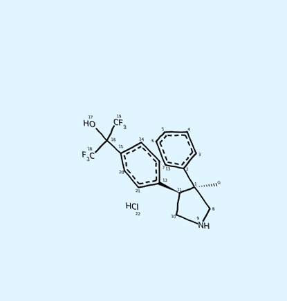 C[C@]1(c2ccccc2)CNC[C@H]1c1ccc(C(O)(C(F)(F)F)C(F)(F)F)cc1.Cl